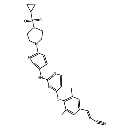 Cc1cc(/C=C/C#N)cc(C)c1Oc1ccnc(Nc2ccc(N3CCN(S(=O)(=O)C4CC4)CC3)nc2)n1